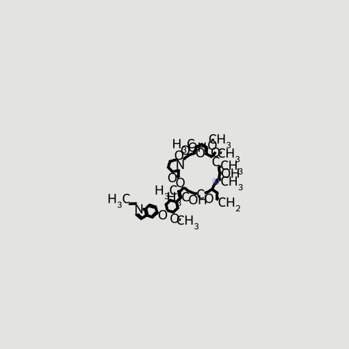 C=CCC1/C=C(\C)C(O)C(C)CC(OC)C2OC(O)(C(=O)C(=O)N3CCCCC3C(=O)OC(C(C)=CC3CCC(Oc4ccc5c(ccn5CCC)c4)C(OC)C3)C(C)C(O)CC1=O)C(C)CC2OC